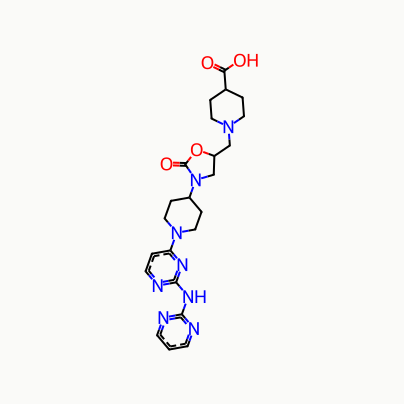 O=C(O)C1CCN(CC2CN(C3CCN(c4ccnc(Nc5ncccn5)n4)CC3)C(=O)O2)CC1